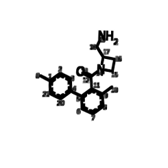 Cc1ccc(-c2cccc(C)c2C(=O)N2CCC2CN)cc1